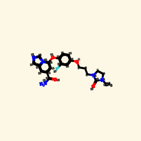 CN1CCN(CCCOc2ccc(Oc3cc(C(N)=O)cc4cncn34)c(F)c2)C1=O